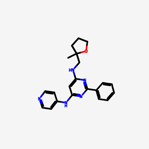 CC1(CNc2cc(Nc3ccncc3)nc(-c3ccccc3)n2)CCCO1